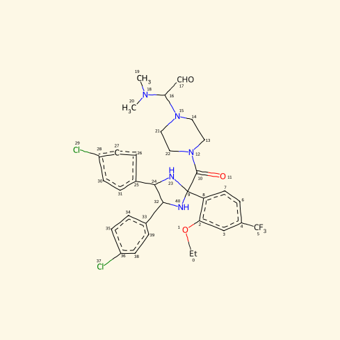 CCOc1cc(C(F)(F)F)ccc1C1(C(=O)N2CCN(C(C=O)N(C)C)CC2)NC(c2ccc(Cl)cc2)C(c2ccc(Cl)cc2)N1